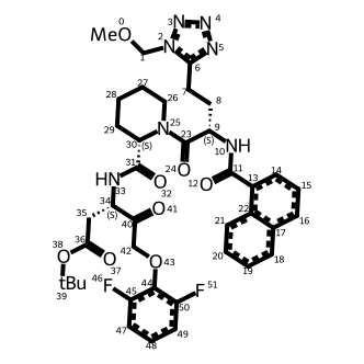 COCn1nnnc1CC[C@H](NC(=O)c1cccc2ccccc12)C(=O)N1CCCC[C@H]1C(=O)N[C@@H](CC(=O)OC(C)(C)C)C(=O)COc1c(F)cccc1F